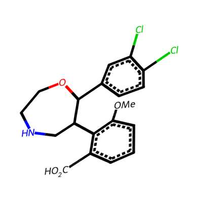 COc1cccc(C(=O)O)c1C1CNCCOC1c1ccc(Cl)c(Cl)c1